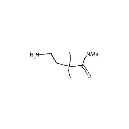 CNC(=O)C(C)(C)CCN